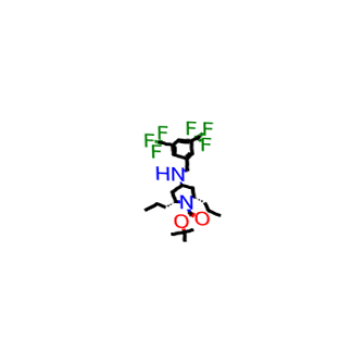 CCC[C@@H]1C[C@H](NCc2cc(C(F)(F)F)cc(C(F)(F)F)c2)C[C@H](CCC)N1C(=O)OC(C)(C)C